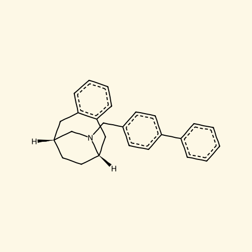 c1ccc(-c2ccc(CN3C[C@@H]4CC[C@H]3Cc3ccccc3C4)cc2)cc1